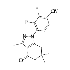 Cc1nn(-c2ccc(C#N)c(F)c2F)c2c1C(=O)CC(C)(C)C2